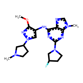 COc1nn(C2CCN(C)C2)cc1Nc1nc(N2CCC(F)C2)nc2c1ncn2C